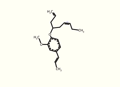 C=CCC(C/C=C\CC)Oc1ccc(C=CC)cc1OC